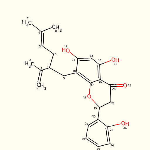 C=C(C)C(CC=C(C)C)Cc1c(O)cc(O)c2c1OC(c1ccccc1O)CC2=O